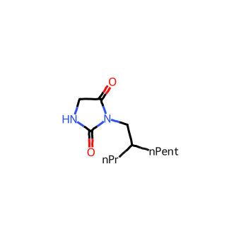 CCCCCC(CCC)CN1C(=O)CNC1=O